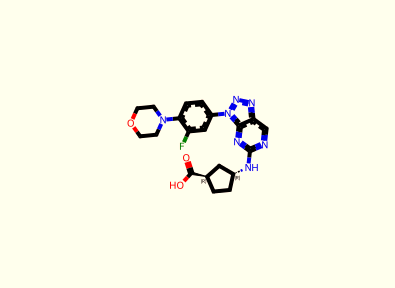 O=C(O)[C@@H]1CC[C@@H](Nc2ncc3nnn(-c4ccc(N5CCOCC5)c(F)c4)c3n2)C1